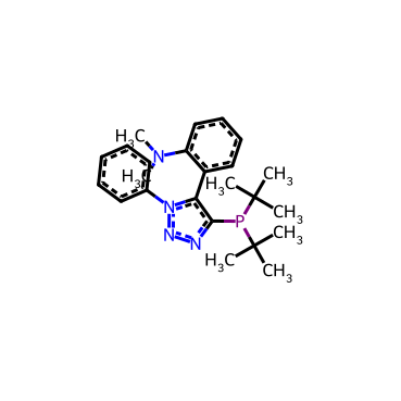 CN(C)c1ccccc1-c1c(P(C(C)(C)C)C(C)(C)C)nnn1-c1ccccc1